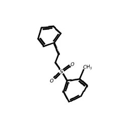 Cc1ccccc1S(=O)(=O)CCc1ccccc1